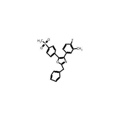 Cc1cc(-c2nc(Cc3ccccc3)oc2-c2ccc(S(C)(=O)=O)cc2)ccc1F